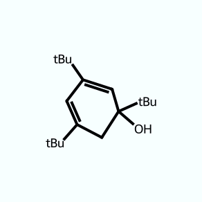 CC(C)(C)C1=CC(O)(C(C)(C)C)CC(C(C)(C)C)=C1